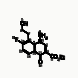 CCOC(=O)c1cn(N)c2c(CCO)c(F)ccc2c1=O